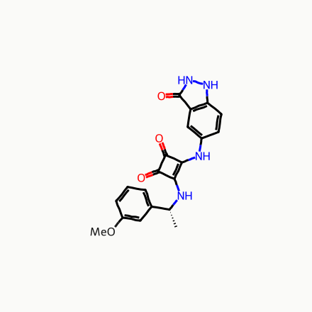 COc1cccc([C@@H](C)Nc2c(Nc3ccc4[nH][nH]c(=O)c4c3)c(=O)c2=O)c1